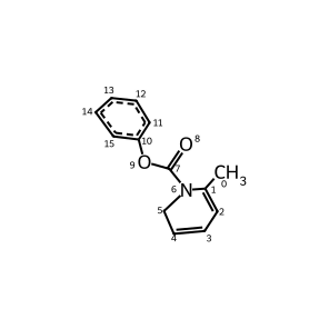 CC1=CC=CCN1C(=O)Oc1ccccc1